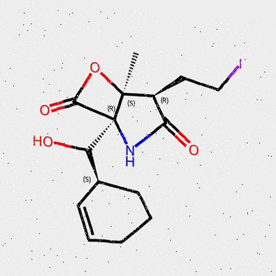 C[C@@]12OC(=O)[C@]1(C(O)[C@@H]1C=CCCC1)NC(=O)[C@@H]2CCI